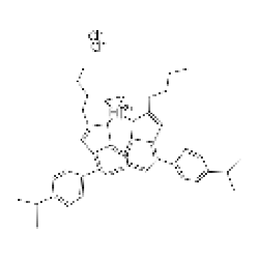 CCCCC1=Cc2c(-c3ccc(C(C)C)cc3)cccc2[CH]1[Hf+2]1([CH]2C(CCCC)=Cc3c(-c4ccc(C(C)C)cc4)cccc32)[CH2][CH2]1.[Cl-].[Cl-]